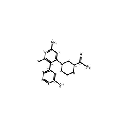 Cc1nc(N)nc(N2CCCC(C(N)=O)C2)c1-c1cccc(O)c1